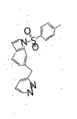 Cc1ccc(S(=O)(=O)n2ccc3ccc(Cc4cccnn4)cc32)cc1